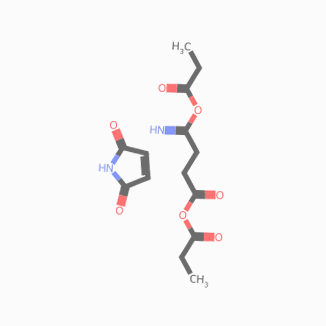 CCC(=O)OC(=N)CCC(=O)OC(=O)CC.O=C1C=CC(=O)N1